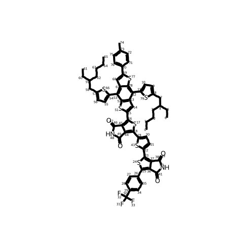 CCCCC(CC)Cc1ccc(-c2c3cc(-c4sc(-c5ccc(-c6sc(-c7ccc(C(F)(F)F)cc7)c7c6C(=O)NC7=O)s5)c5c4C(=O)NC5=O)sc3c(-c3ccc(CC(CC)CCCC)s3)c3cc(-c4ccc(C)cc4)sc23)s1